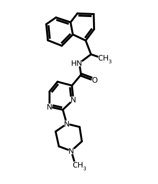 CC(NC(=O)c1ccnc(N2CCN(C)CC2)n1)c1cccc2ccccc12